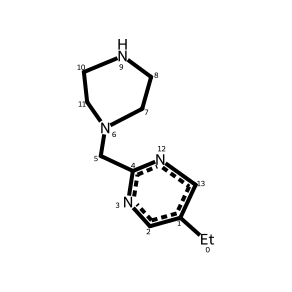 CCc1cnc(CN2CCNCC2)nc1